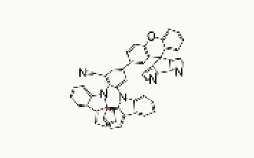 N#Cc1cc(-c2ccc3c(c2)C2(c4ccccc4O3)c3cccnc3-c3ncccc32)cc(-n2c3ccccc3c3ccccc32)c1-n1c2ccccc2c2ccccc21